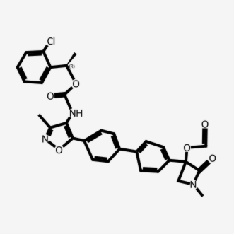 Cc1noc(-c2ccc(-c3ccc(C4(OC=O)CN(C)C4=O)cc3)cc2)c1NC(=O)O[C@H](C)c1ccccc1Cl